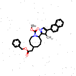 CC1C(c2ccc3ccccc3c2)=CN=C1C1CCCC(CC(=O)OCc2ccccc2)CCCN1C(=O)OC(C)(C)C